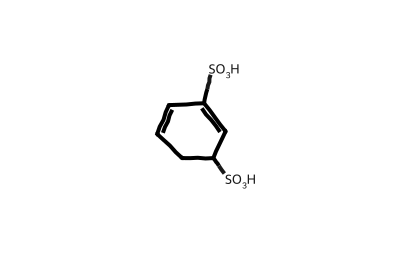 O=S(=O)(O)C1=CC(S(=O)(=O)O)CC=C1